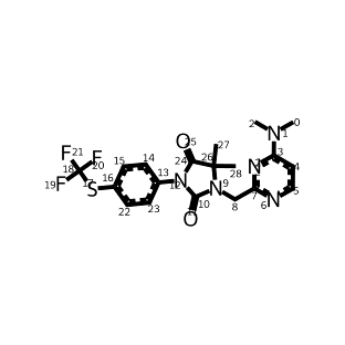 CN(C)c1ccnc(CN2C(=O)N(c3ccc(SC(F)(F)F)cc3)C(=O)C2(C)C)n1